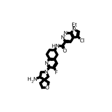 CCn1cc(Cl)c2cc(C(=O)NC3CCc4nc(N5CC(N)C6(CCOC6)C5)c(F)cc4C3)nnc21